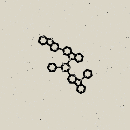 c1ccc(-c2nc(-c3ccc4c5ccccc5n(-c5ccccc5)c4c3)nc(-n3c4ccccc4c4ccc(-c5ccc6c(c5)oc5ccccc56)cc43)n2)cc1